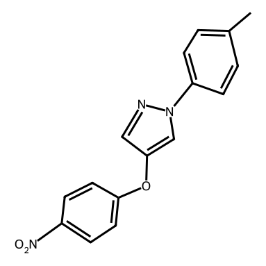 Cc1ccc(-n2cc(Oc3ccc([N+](=O)[O-])cc3)cn2)cc1